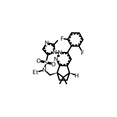 CCN(C[C@@]12CC[C@@H](c3cc(-c4c(F)cccc4F)nnc31)C2(C)C)S(=O)(=O)c1cnc(C)n1C